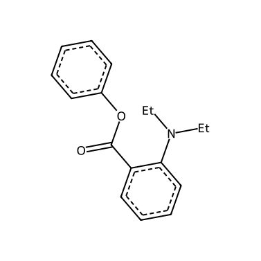 CCN(CC)c1ccccc1C(=O)Oc1ccccc1